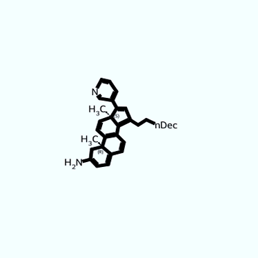 CCCCCCCCCCCCC1=C2C3=C(C=C[C@@]2(C)C(c2cccnc2)=C1)[C@]1(C)CC(N)=CC=C1C=C3